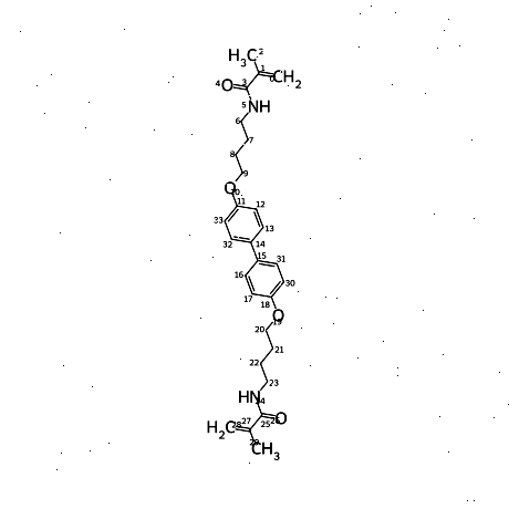 C=C(C)C(=O)NCCCCOc1ccc(-c2ccc(OCCCCNC(=O)C(=C)C)cc2)cc1